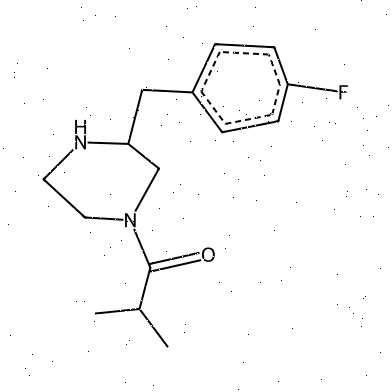 CC(C)C(=O)N1CCNC(Cc2ccc(F)cc2)C1